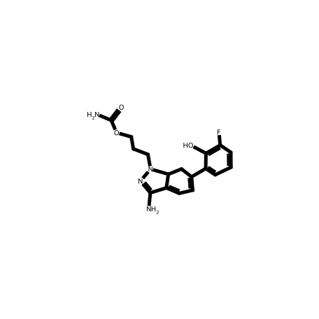 NC(=O)OCCCN1N=C(N)C2=CC=C(c3cccc(F)c3O)CC21